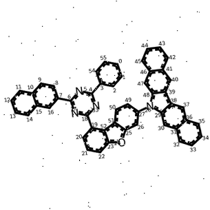 c1ccc(-c2nc(-c3ccc4ccccc4c3)nc(-c3cccc4oc5cc(-n6c7cc8ccccc8cc7c7cc8ccccc8cc76)ccc5c34)n2)cc1